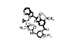 COc1cc(C(=O)N2C[C@H](NC(=O)OC(C)(C)C)CC[C@@H]2C)cc2nc(-c3cc4cccnc4n3CC3CC3)n(C)c12